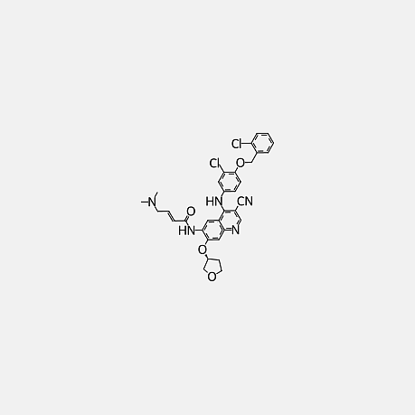 CN(C)C/C=C/C(=O)Nc1cc2c(Nc3ccc(OCc4ccccc4Cl)c(Cl)c3)c(C#N)cnc2cc1O[C@H]1CCOC1